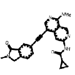 CNc1ncc(C#Cc2ccc3c(c2)C(=O)N(C)C3)c2cc(NC(=O)C3CC3)ncc12